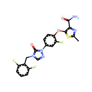 Cc1nc(C(N)=O)c(Oc2ccc(-n3ncn(Cc4c(F)cccc4F)c3=O)cc2F)s1